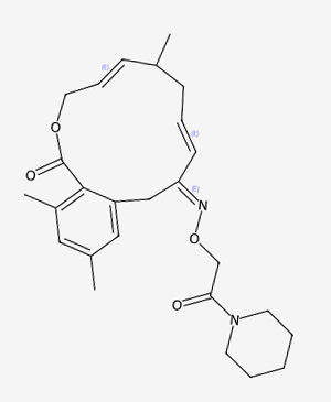 Cc1cc(C)c2c(c1)CC(=N\OCC(=O)N1CCCCC1)/C=C/CC(C)/C=C/COC2=O